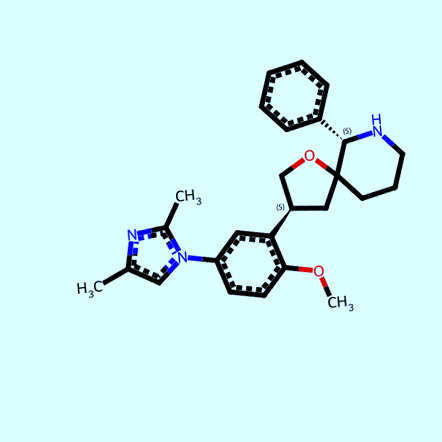 COc1ccc(-n2cc(C)nc2C)cc1[C@H]1COC2(CCCN[C@H]2c2ccccc2)C1